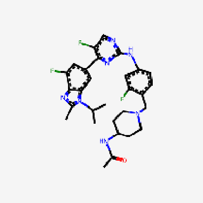 CC(=O)NC1CCN(Cc2ccc(Nc3ncc(F)c(-c4cc(F)c5nc(C)n(C(C)C)c5c4)n3)cc2F)CC1